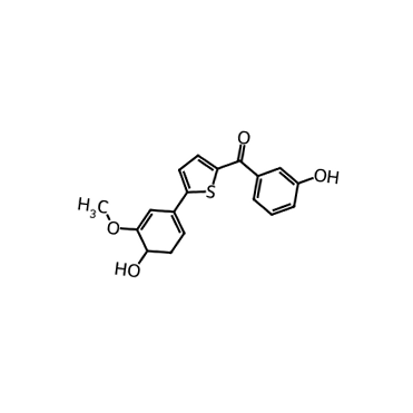 COC1=CC(c2ccc(C(=O)c3cccc(O)c3)s2)=CCC1O